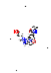 Cc1nc(N2CCC(CCO)CC2)nc2c1ccc(=O)n2-c1ccc(C(=O)NC2CC2)cc1